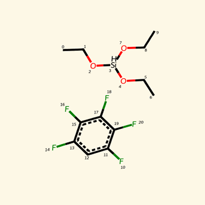 CCO[SiH](OCC)OCC.Fc1cc(F)c(F)c(F)c1F